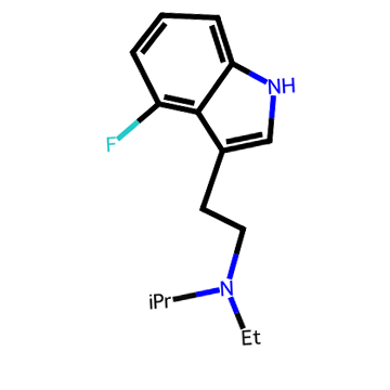 CCN(CCc1c[nH]c2cccc(F)c12)C(C)C